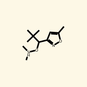 Cc1cc(C(O[SiH](C)C)C(C)(C)C)no1